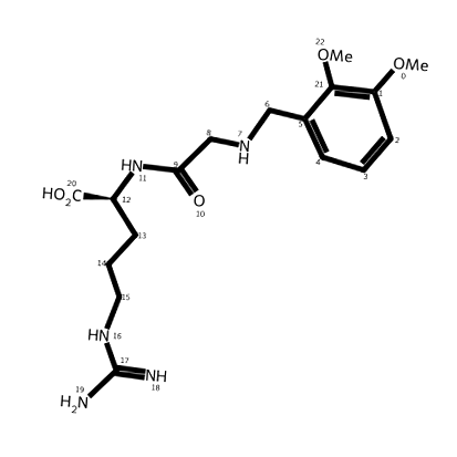 COc1cccc(CNCC(=O)N[C@@H](CCCNC(=N)N)C(=O)O)c1OC